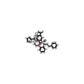 Cc1coc2ccc(S(=O)(=O)N(CCc3ccccc3)c3ccccc3N3CCN(C(=O)c4ccc[nH]4)CC3)cc12